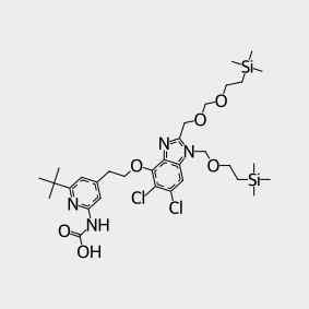 CC(C)(C)c1cc(CCOc2c(Cl)c(Cl)cc3c2nc(COCOCC[Si](C)(C)C)n3COCC[Si](C)(C)C)cc(NC(=O)O)n1